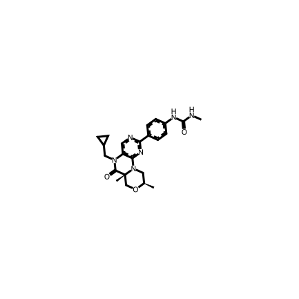 CNC(=O)Nc1ccc(-c2ncc3c(n2)N2C[C@@H](C)OC[C@]2(C)C(=O)N3CC2CC2)cc1